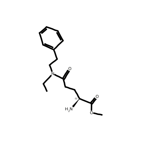 CCN(CCc1ccccc1)C(=O)CC[C@H](N)C(=O)OC